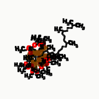 CCO[Si](CS(S)(SS)C(C)(C(CCC(C)CCCC(C)CCCCC(C)CCCC(C)CCCC(C)C)(S(S)(C[Si](OCC)(OCC)OCC)SS)S(S)(C[Si](OCC)(OCC)OCC)SS)C(S(S)(C[Si](OCC)(OCC)OCC)SS)(S(S)(C[Si](OCC)(OCC)OCC)SS)S(S)(C[Si](OCC)(OCC)OCC)SS)(OCC)OCC